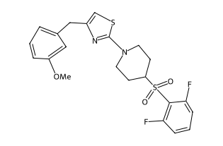 COc1cccc(Cc2csc(N3CCC(S(=O)(=O)c4c(F)cccc4F)CC3)n2)c1